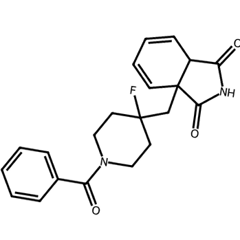 O=C1NC(=O)C2(CC3(F)CCN(C(=O)c4ccccc4)CC3)C=CC=CC12